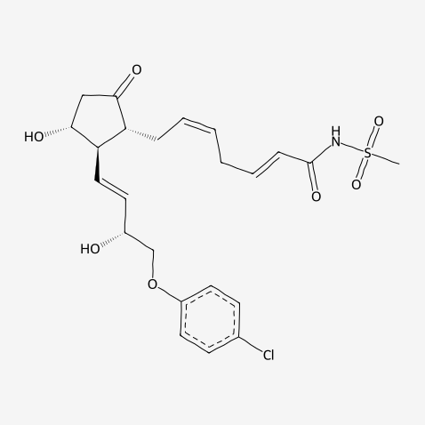 CS(=O)(=O)NC(=O)/C=C/C/C=C\C[C@H]1C(=O)C[C@@H](O)[C@@H]1/C=C/[C@@H](O)COc1ccc(Cl)cc1